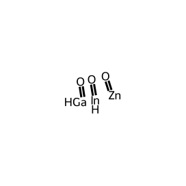 [O]=[GaH].[O]=[InH].[O]=[Zn]